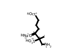 CCCCCCCCCCCC(=O)C(C)(CN)S(=O)(=O)O.[NaH]